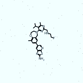 Cc1cc(-c2cnc3sc(N)nc3c2)cc2c1OCCN(c1nc(CNCCF)nc(C)c1C(C)C)C2